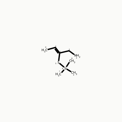 CC=C(CN)S[Si](C)(C)C